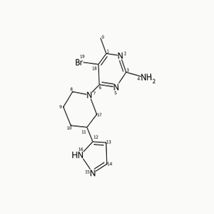 Cc1nc(N)nc(N2CCCC(c3ccn[nH]3)C2)c1Br